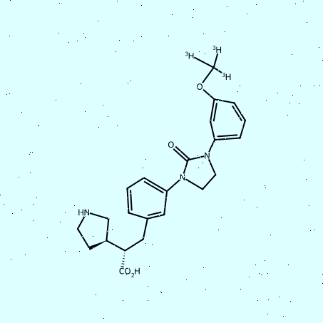 [3H]C([3H])([3H])Oc1cccc(N2CCN(c3cccc(C[C@H](C(=O)O)[C@H]4CCNC4)c3)C2=O)c1